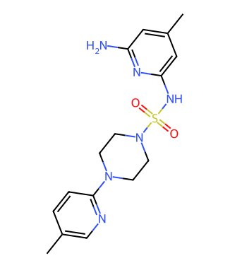 Cc1ccc(N2CCN(S(=O)(=O)Nc3cc(C)cc(N)n3)CC2)nc1